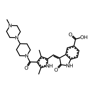 Cc1[nH]c(C=C2C(=O)Nc3ccc(C(=O)O)cc32)c(C)c1C(=O)N1CCC(N2CCN(C)CC2)CC1